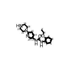 CCOc1ccccc1NC(=O)Nc1ccc(N2CCNCC2)nc1